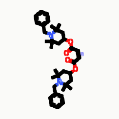 CC1(C)CC(OC(=O)/C=C\C(=O)OC2CC(C)(C)N(Cc3ccccc3)C(C)(C)C2)CC(C)(C)N1Cc1ccccc1